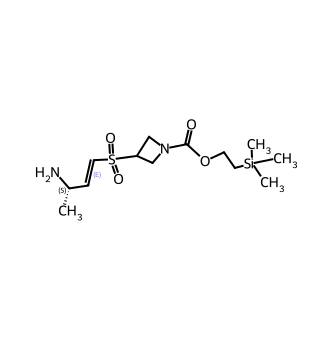 C[C@H](N)/C=C/S(=O)(=O)C1CN(C(=O)OCC[Si](C)(C)C)C1